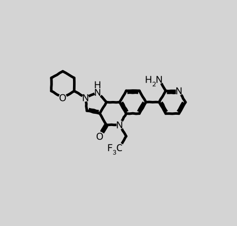 Nc1ncccc1-c1ccc2c(c1)N(CC(F)(F)F)C(=O)C1=CN(C3CCCCO3)NC12